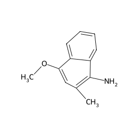 COc1cc(C)c(N)c2ccccc12